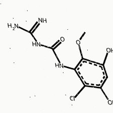 COc1c(O)cc(O)c(Cl)c1NC(=O)NC(=N)N